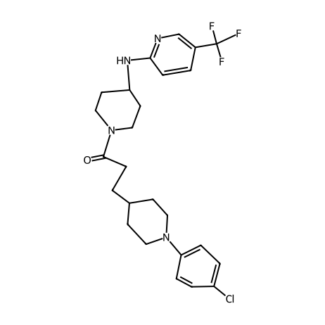 O=C(CCC1CCN(c2ccc(Cl)cc2)CC1)N1CCC(Nc2ccc(C(F)(F)F)cn2)CC1